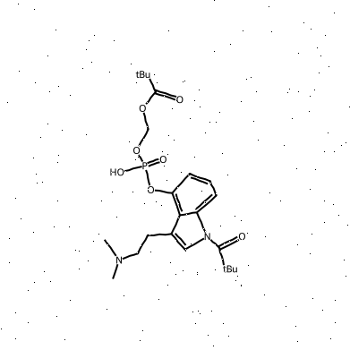 CN(C)CCc1cn(C(=O)C(C)(C)C)c2cccc(OP(=O)(O)OCOC(=O)C(C)(C)C)c12